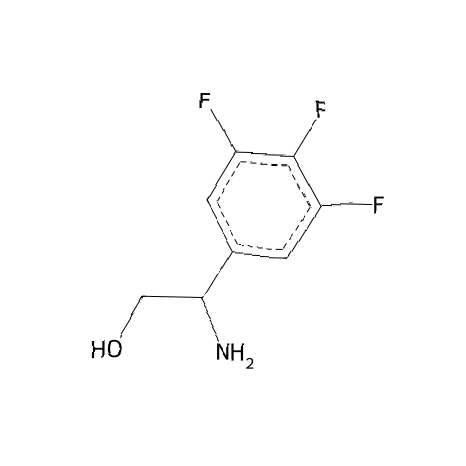 NC(CO)c1cc(F)c(F)c(F)c1